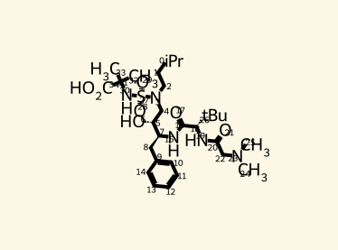 CC(C)CCN(C[C@@H](O)[C@H](Cc1ccccc1)NC(=O)[C@@H](NC(=O)CN(C)C)C(C)(C)C)S(=O)(=O)NC(C)(C)C(=O)O